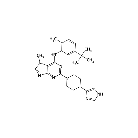 Cc1ccc(C(C)(C)C)cc1Nc1nc(N2CCC(c3c[nH]cn3)CC2)nc2ncn(C)c12